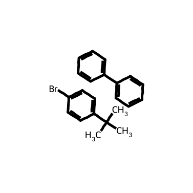 CC(C)(C)c1ccc(Br)cc1.c1ccc(-c2ccccc2)cc1